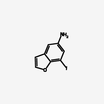 Nc1cc(I)c2occc2c1